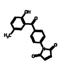 Cc1ccc(O)c(C(=O)c2ccc(N3C(=O)C=CC3=O)cc2)c1